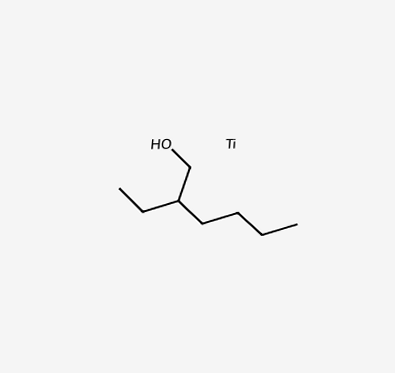 CCCCC(CC)CO.[Ti]